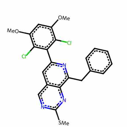 COc1cc(OC)c(Cl)c(-c2cc3cnc(SC)nc3c(Cc3ccccc3)n2)c1Cl